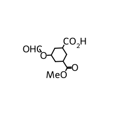 COC(=O)C1CC(OC=O)CC(C(=O)O)C1